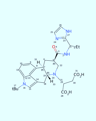 CCC(NC(=O)[C@@H]1C[C@@H]2c3cccc4c3c(cn4C(C)(C)C)C[C@H]2N(C)C1)c1ncc[nH]1.O=C(O)CCC(=O)O